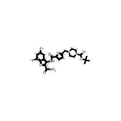 CC(C)(C)OC(=O)N1CCN(Cc2ccc(C(=O)Nc3c(C(N)=O)oc4c(F)cc(F)cc34)o2)CC1